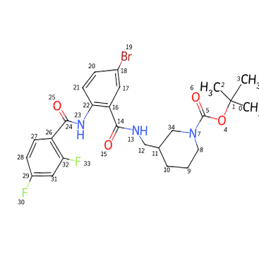 CC(C)(C)OC(=O)N1CCCC(CNC(=O)c2cc(Br)ccc2NC(=O)c2ccc(F)cc2F)C1